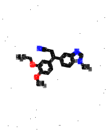 CCOc1cc(C(=CC#N)c2ccc3c(c2)ncn3C)ccc1OC